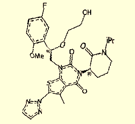 COc1ccc(F)cc1[C@H](Cn1c(=O)n([C@@H]2CCCN(C(C)C)C2=O)c(=O)c2c(C)c(-n3nccn3)sc21)OCCO